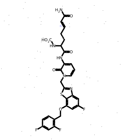 NC(=O)/C=C/CCC(NC(=O)O)C(=O)Nc1cccn(Cc2nc3cc(F)cc(OCc4ccc(F)cc4F)c3s2)c1=O